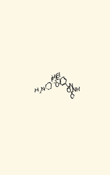 Cl.N[C@H]1CC[C@H](COc2cc(-c3n[nH]c(=O)o3)ccc2C(F)(F)F)CC1